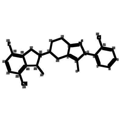 Cc1c2c(nn1-c1ccccc1Cl)CCC(N1Cc3c(F)ccc(C#N)c3C1C)C2